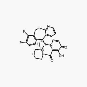 O=C1c2c(O)c(=O)ccn2N([C@@H]2c3cccnc3SCc3c2ccc(F)c3F)[C@@H]2COCCN12